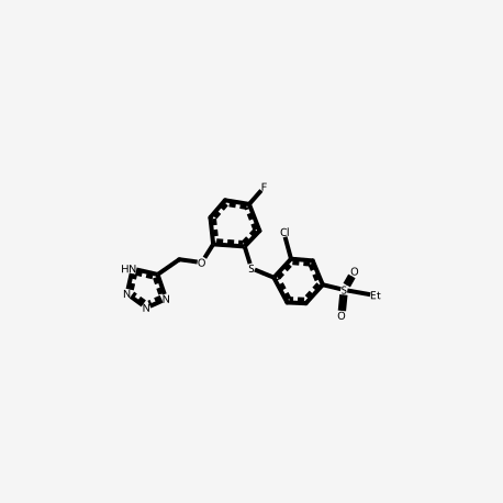 CCS(=O)(=O)c1ccc(Sc2cc(F)ccc2OCc2nnn[nH]2)c(Cl)c1